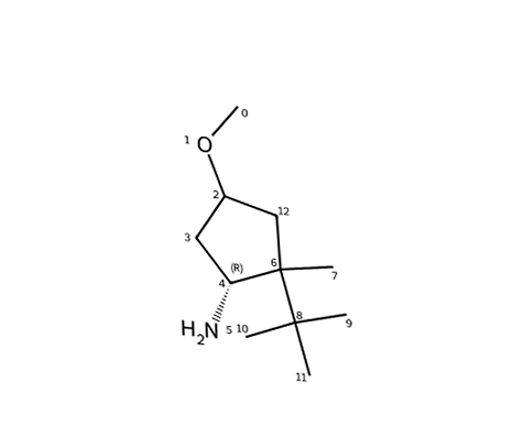 COC1C[C@@H](N)C(C)(C(C)(C)C)C1